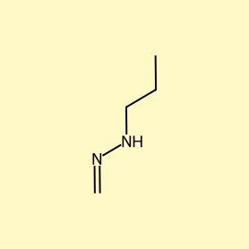 C=NNCCC